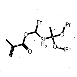 C=C(C)C(=O)OC(CC)[SiH2]C(C)(OC(C)C)OC(C)C